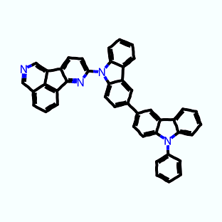 c1ccc(-n2c3ccccc3c3cc(-c4ccc5c(c4)c4ccccc4n5-c4ccc5c(n4)-c4cccc6cncc-5c46)ccc32)cc1